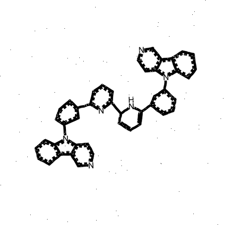 C1=CC(c2cccc(-c3cccc(-n4c5ccccc5c5cnccc54)c3)n2)NC(c2cccc(-n3c4ccccc4c4cnccc43)c2)=C1